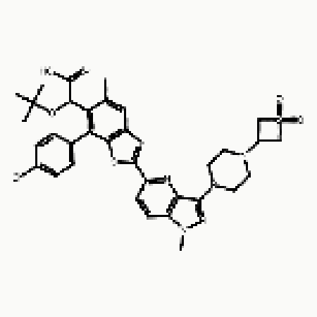 Cc1cc2nc(-c3ccc4c(n3)c(N3CCN(C5CS(=O)(=O)C5)CC3)nn4C)sc2c(-c2ccc(Cl)cc2)c1C(OC(C)(C)C)C(=O)O